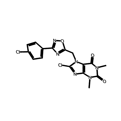 Cn1c(=O)c2c(nc(Cl)n2Cc2nc(-c3ccc(Cl)cc3)no2)n(C)c1=O